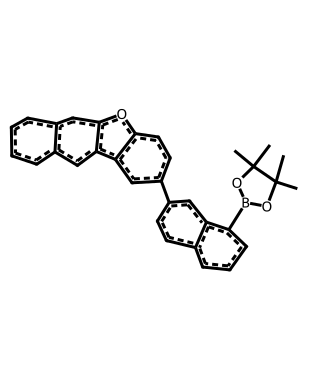 CC1(C)OB(c2cccc3ccc(-c4ccc5oc6cc7ccccc7cc6c5c4)cc23)OC1(C)C